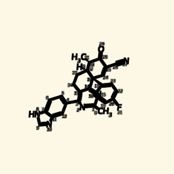 Cc1nc(-c2ccc3[nH]cnc3c2)c2c(n1)[C@@]1(c3ccc(F)cc3)C=C(C#N)C(=O)[C@@H](C)[C@@H]1CC2